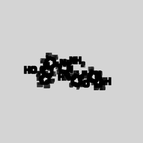 Nc1nc(Nc2ccc(Oc3ccnc4[nH]ccc34)c(F)c2)cc(C2CCCN(C(=O)O)C2Cc2ccccc2)n1